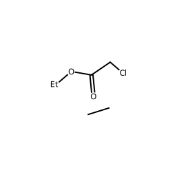 CC.CCOC(=O)CCl